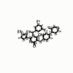 CCC(c1cc(F)cc(F)c1)n1c(-c2ccn(CC)n2)nc(=O)c(Cc2ccc(-c3ccncc3C)cc2)c1O